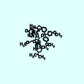 C=C(C)[C@@H]1CC[C@]2(C)S[P@](=S)(O[C@H]3[C@@H](OCCOC)[C@H](n4cnc5c(=O)[nH]c(N=C6CCCN6C)nc54)O[C@@H]3COC(c3ccccc3)(c3ccc(OC)cc3)c3ccc(OC)cc3)O[C@H]2C1